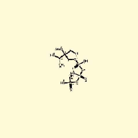 COC(CCl)(COP(=O)(O)OP(=O)(O)OP(=O)(O)O)[C@H](C)O